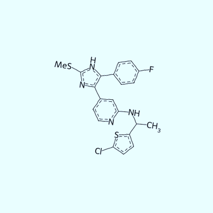 CSc1nc(-c2ccnc(NC(C)c3ccc(Cl)s3)c2)c(-c2ccc(F)cc2)[nH]1